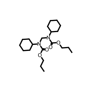 CCCOC(=O)N(CN(C(=O)OCCC)C1CCCCC1)C1CCCCC1